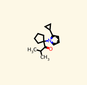 CC(C)C(=O)C1(n2cccc2C2CC2)CCCC1